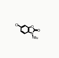 CCCCn1c(=O)oc2cc(Cl)ccc21